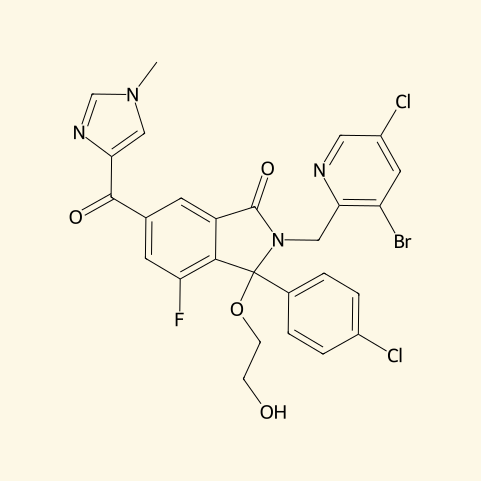 Cn1cnc(C(=O)c2cc(F)c3c(c2)C(=O)N(Cc2ncc(Cl)cc2Br)C3(OCCO)c2ccc(Cl)cc2)c1